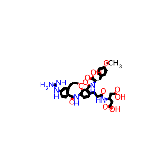 COc1ccc(C[C@H](NC(=O)c2c(CCC(=O)NC(CC(=O)O)CC(=O)O)ccc3c2OCCCc2cc(NC(=N)N)ccc2C(=O)N3)C(=O)O)cc1